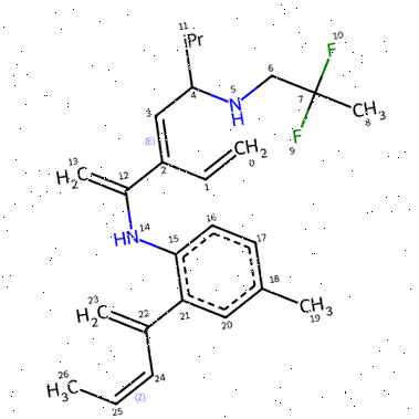 C=C/C(=C\C(NCC(C)(F)F)C(C)C)C(=C)Nc1ccc(C)cc1C(=C)/C=C\C